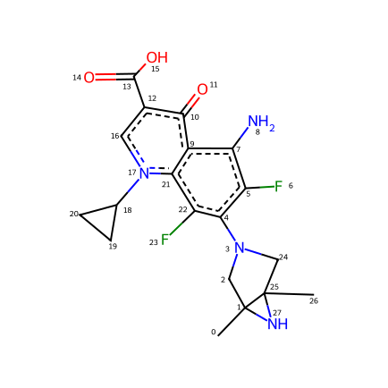 CC12CN(c3c(F)c(N)c4c(=O)c(C(=O)O)cn(C5CC5)c4c3F)CC1(C)N2